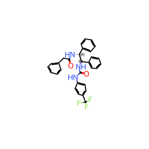 O=C(Cc1ccccc1)N[C@H](c1ccccc1)[C@H](NC(=O)Nc1ccc(C(F)(F)F)cc1)c1ccccc1